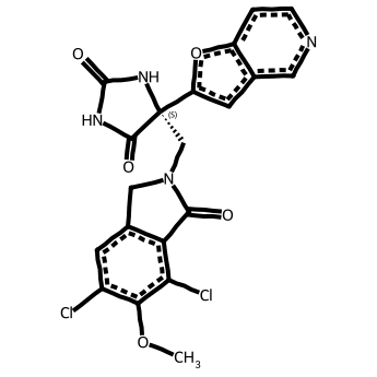 COc1c(Cl)cc2c(c1Cl)C(=O)N(C[C@@]1(c3cc4cnccc4o3)NC(=O)NC1=O)C2